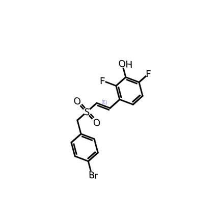 O=S(=O)(/C=C/c1ccc(F)c(O)c1F)Cc1ccc(Br)cc1